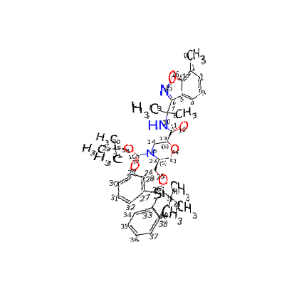 Cc1cccc2c(C(C)(C)NC(=O)[C@@H]3CN(C(=O)OC(C)(C)C)[C@H](CO[Si](c4ccccc4)(c4ccccc4)C(C)(C)C)CO3)noc12